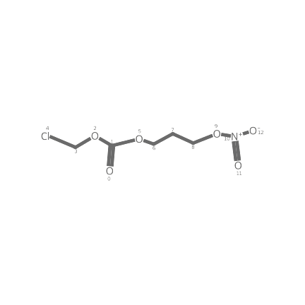 O=C(OCCl)OCCCO[N+](=O)[O-]